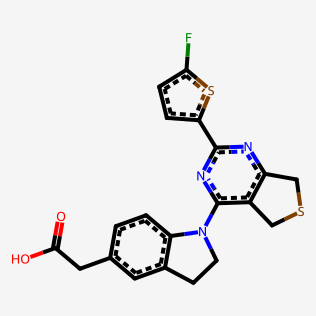 O=C(O)Cc1ccc2c(c1)CCN2c1nc(-c2ccc(F)s2)nc2c1CSC2